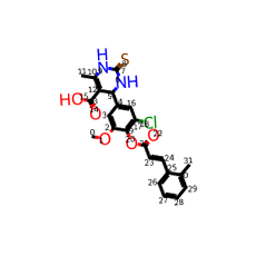 COc1cc(C2NC(=S)NC(C)=C2C(=O)O)cc(Cl)c1OC(=O)C=Cc1ccccc1C